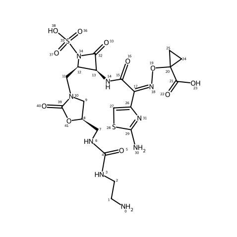 NCCNC(=O)NC[C@@H]1CN(C[C@@H]2[C@H](NC(=O)/C(=N\OC3(C(=O)O)CC3)c3csc(N)n3)C(=O)N2S(=O)(=O)O)C(=O)O1